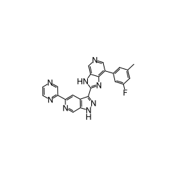 Cc1cc(F)cc(-c2cncc3[nH]c(-c4n[nH]c5cnc(-c6cnccn6)cc45)nc23)c1